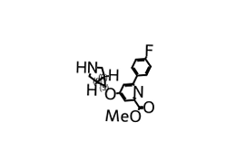 COC(=O)c1cc(O[C@H]2[C@@H]3CNC[C@@H]32)cc(-c2ccc(F)cc2)n1